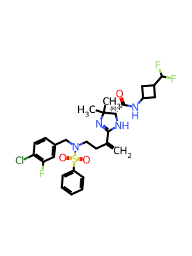 C=C(CCN(Cc1ccc(Cl)c(F)c1)S(=O)(=O)c1ccccc1)C1=NC(C)(C)[C@H](C(=O)NC2CC(C(F)F)C2)N1